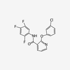 O=C(Nc1cc(F)c(F)cc1F)c1cccnc1Oc1cccc(Cl)c1